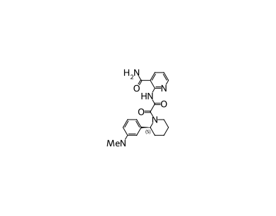 CNc1cccc([C@@H]2CCCCN2C(=O)C(=O)Nc2ncccc2C(N)=O)c1